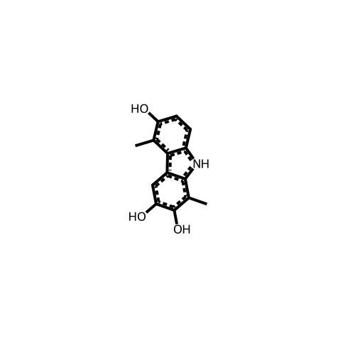 Cc1c(O)c(O)cc2c1[nH]c1ccc(O)c(C)c12